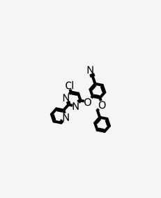 N#Cc1ccc(OCc2ccccc2)c(Oc2cc(Cl)nc(-c3ccccn3)n2)c1